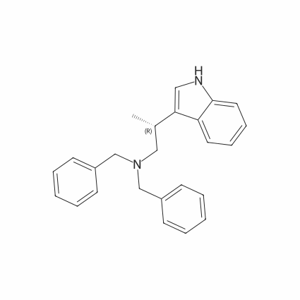 C[C@@H](CN(Cc1ccccc1)Cc1ccccc1)c1c[nH]c2ccccc12